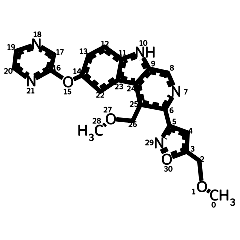 COCc1cc(-c2ncc3[nH]c4ccc(Oc5cnccn5)cc4c3c2COC)no1